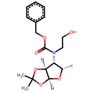 CC1(C)O[C@@H]2O[C@@H](I)[C@@H](N(CCO)C(=O)OCc3ccccc3)[C@@H]2O1